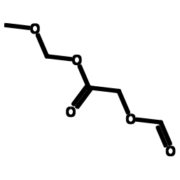 COCOC(=O)COC=O